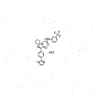 Cl.Cn1ccnc1-c1ccc(C2=NC3(CCCC3)N(CC(=O)Nc3cccc(C(F)(F)F)c3)C2=O)cc1